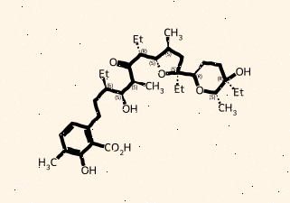 CC[C@H](CCc1ccc(C)c(O)c1C(=O)O)[C@H](O)[C@H](C)C(=O)[C@H](CC)[C@H]1O[C@](CC)([C@H]2CC[C@](O)(CC)[C@H](C)O2)C[C@@H]1C